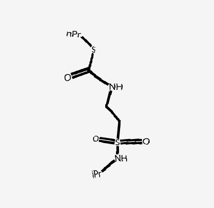 CCCSC(=O)NCCS(=O)(=O)NC(C)C